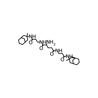 CC1(NC(=O)CCNC(=O)CCC(N)C(=O)NCCC(=O)NC2(C)CC3CCCC(C3)C2)C=C2CCCC(C2)C1